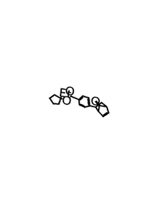 CCC1(OC(=O)c2ccc(C3CC4C=CC3C4=O)cc2)CCCC1